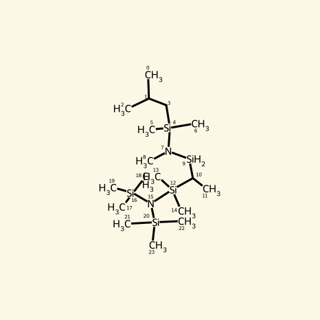 CC(C)C[Si](C)(C)N(C)[SiH2]C(C)[Si](C)(C)N([Si](C)(C)C)[Si](C)(C)C